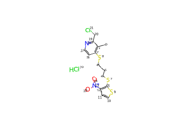 Cc1c(SCCCSc2sccc2[N+](=O)[O-])ccnc1CCl.Cl